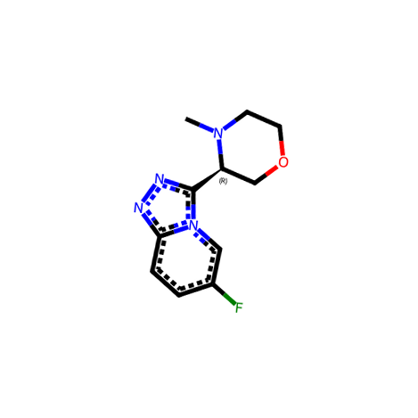 CN1CCOC[C@H]1c1nnc2ccc(F)cn12